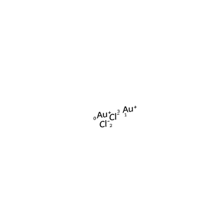 [Au+].[Au+].[Cl-].[Cl-]